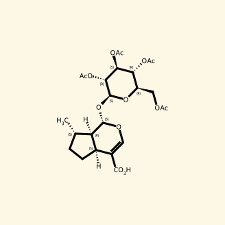 CC(=O)OC[C@H]1O[C@@H](O[C@@H]2OC=C(C(=O)O)[C@H]3CC[C@H](C)[C@@H]23)[C@H](OC(C)=O)[C@@H](OC(C)=O)[C@@H]1OC(C)=O